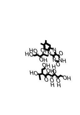 CC(O)C(CCO)C(=O)[C@H](O)[C@@H](O)[C@H](O)[C@H](O)CO.Cc1cc2nc3c(=O)[nH]c(=O)nc-3n(C[C@H](O)[C@H](O)[C@H](O)CO)c2cc1C